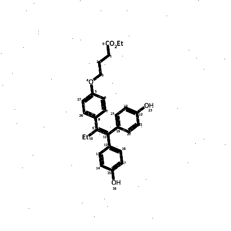 CCOC(=O)CCCOc1ccc(C(CC)=C(c2ccc(O)cc2)c2ccc(O)cc2)cc1